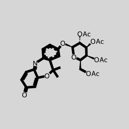 CC(=O)OC[C@H]1O[C@@H](Oc2ccc3c(c2)C(C)(C)OC2=CC(=O)C=CC2=N3)[C@H](OC(C)=O)[C@@H](OC(C)=O)[C@H]1OC(C)=O